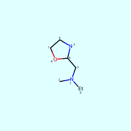 CCN(C)CC1[N]CCO1